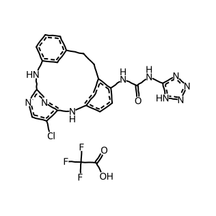 O=C(Nc1nnn[nH]1)Nc1ccc2cc1CCc1cccc(c1)Nc1ncc(Cl)c(n1)N2.O=C(O)C(F)(F)F